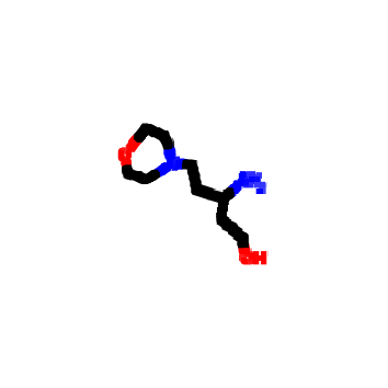 NC(CCO)CCN1CCOCC1